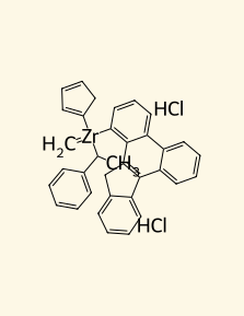 Cl.Cl.[CH2]=[Zr]([C]1=CC=CC1)([c]1cccc2c1c1c(c3ccccc32)-c2ccccc2C1)[CH](C)c1ccccc1